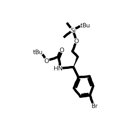 CC(C)(C)OC(=O)N[C@@H](CCO[Si](C)(C)C(C)(C)C)c1ccc(Br)cc1